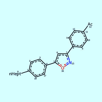 CCCCCCCc1ccc(-c2cc(-c3ccc(C(C)=O)cc3)no2)cc1